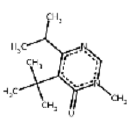 CC(C)c1ncn(C)c(=O)c1C(C)(C)C